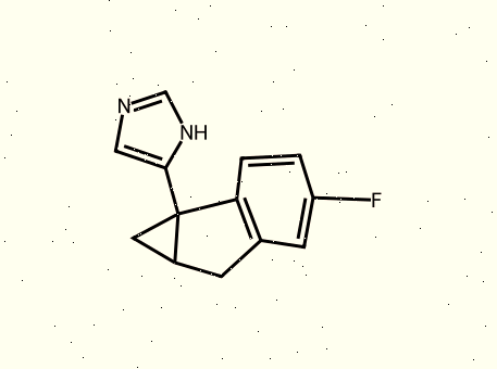 Fc1ccc2c(c1)CC1CC21c1cnc[nH]1